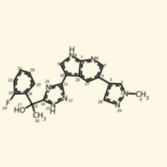 Cn1cc(-c2cnc3[nH]cc(-c4n[nH]c(C(C)(O)c5ccccc5F)n4)c3c2)cn1